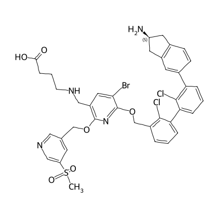 CS(=O)(=O)c1cncc(COc2nc(OCc3cccc(-c4cccc(-c5ccc6c(c5)C[C@@H](N)C6)c4Cl)c3Cl)c(Br)cc2CNCCCC(=O)O)c1